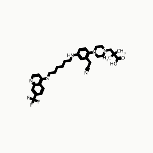 CC(C)(CN1CCN(c2ccc(NCCCCCCSc3ccnc4cc(C(F)(F)F)ccc34)cc2CC#N)CC1)C(=O)O